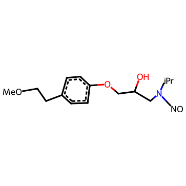 COCCc1ccc(OCC(O)CN(N=O)C(C)C)cc1